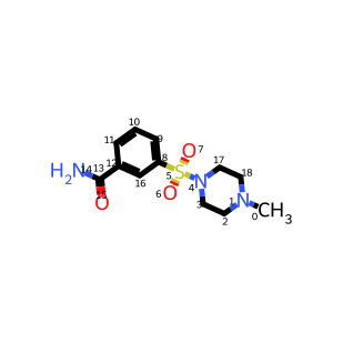 CN1CCN(S(=O)(=O)c2cccc(C(N)=O)c2)CC1